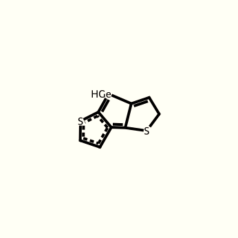 C1=[C]2[GeH]=[c]3sccc3=C2SC1